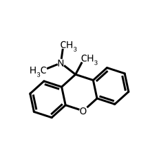 CN(C)C1(C)c2ccccc2Oc2ccccc21